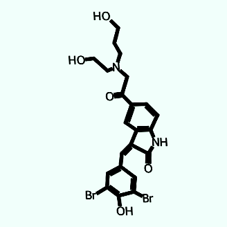 O=C1Nc2ccc(C(=O)CN(CCO)CCCO)cc2C1=Cc1cc(Br)c(O)c(Br)c1